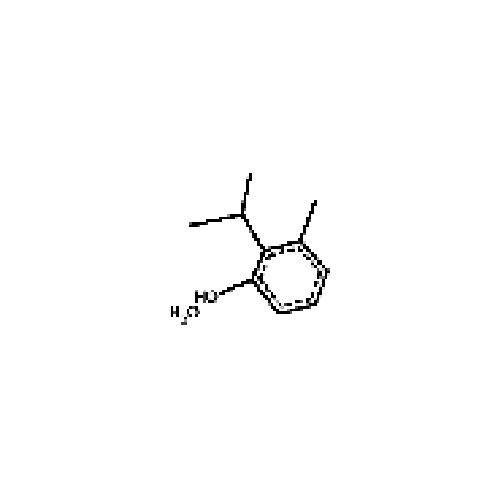 Cc1cccc(O)c1C(C)C.O